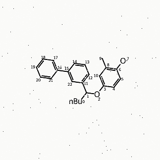 CCCCC(Oc1ccc([O])c(C)c1)c1cccc(-c2ccccc2)c1